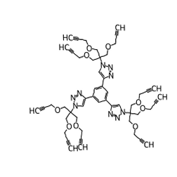 C#CCOCC(COCC#C)(COCC#C)n1cc(-c2cc(-c3cn(C(COCC#C)(COCC#C)COCC#C)nn3)cc(-c3cn(C(COCC#C)(COCC#C)COCC#C)nn3)c2)nn1